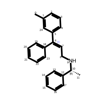 Cc1cccc(/C(=C/CN[C@H](C)c2ccccc2)c2ccccc2)c1